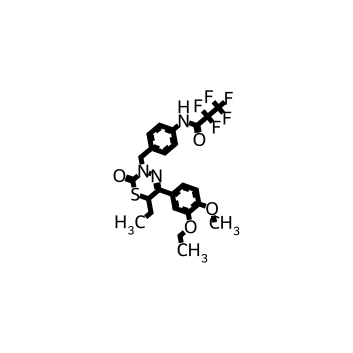 CCOc1cc(C2=NN(Cc3ccc(NC(=O)C(F)(F)C(F)(F)F)cc3)C(=O)SC2CC)ccc1OC